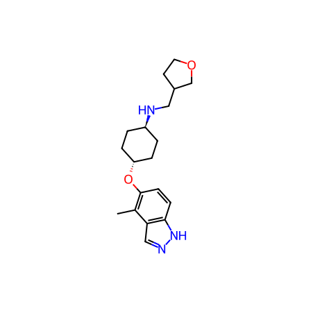 Cc1c(O[C@H]2CC[C@H](NCC3CCOC3)CC2)ccc2[nH]ncc12